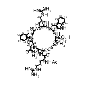 CC(=O)N[C@H](CCCNC(=N)N)C(=O)N[C@H]1CCSSC(C)(C)[C@@H](C(=O)O)NC(=O)[C@H](Cc2c[nH]c3ccccc23)NC(=O)[C@H](CCCNC(=N)N)NC(=O)[C@@H](Cc2ccccc2)NC(=O)[C@H](CC(N)=O)NC1=O